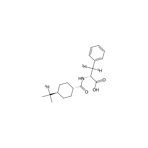 [2H]C([2H])(c1ccccc1)[C@@H](NC(=O)[C@H]1CC[C@H](C([2H])(C)C)CC1)C(=O)O